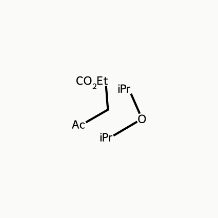 CC(C)OC(C)C.CCOC(=O)CC(C)=O